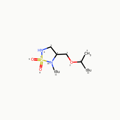 CC(OCC1CNS(=O)(=O)N1C(C)(C)C)C(C)(C)C